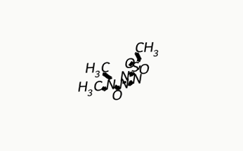 CCCN(CC)C(=O)n1cnc(S(=O)(=O)CCC)n1